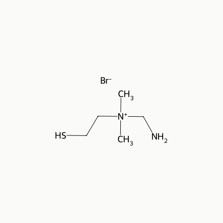 C[N+](C)(CN)CCS.[Br-]